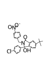 CC(C)(C)c1ccc2c(c1)C(=O)N(Cc1ccc([N+](=O)[O-])cc1)C2(O)c1ccc(Cl)cc1